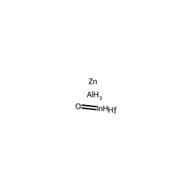 [AlH3].[Hf].[O]=[InH].[Zn]